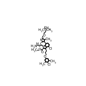 CCOC(=O)c1c(CCCOc2cc(C)c(Cl)c(C)c2)c2c(Cl)ccc(-c3c(C)nn(COCC[Si](C)(C)C)c3C)c2n1CCCN